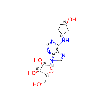 OC[C@H]1O[C@@H](n2cnc3c(N[C@H]4CC[C@@H](O)C4)ncnc32)[C@H](O)[C@@H]1O